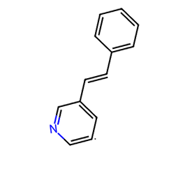 [c]1cncc(C=Cc2ccccc2)c1